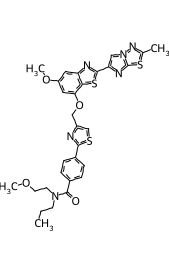 CCCN(CCOC)C(=O)c1ccc(-c2nc(COc3cc(OC)cc4nc(-c5cn6nc(C)sc6n5)sc34)cs2)cc1